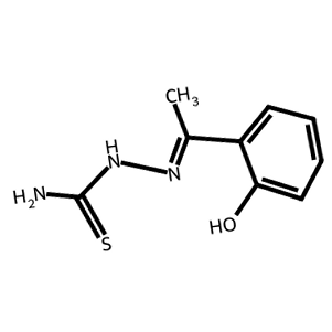 CC(=NNC(N)=S)c1ccccc1O